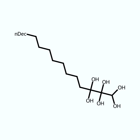 CCCCCCCCCCCCCCCCCCC(O)(O)C(O)(O)C(O)O